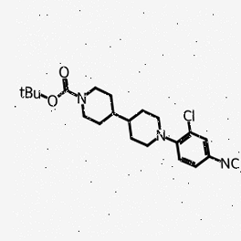 [C-]#[N+]c1ccc(N2CCC(C3CCN(C(=O)OC(C)(C)C)CC3)CC2)c(Cl)c1